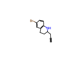 C#CCC1CCc2cc(Br)ccc2N1